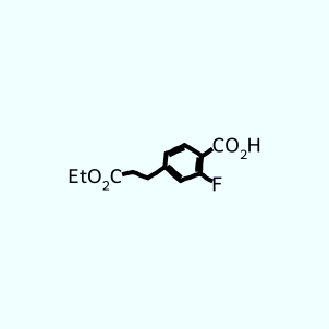 CCOC(=O)CCc1ccc(C(=O)O)c(F)c1